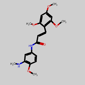 CNc1cc(NC(=O)/C=C/c2c(OC)cc(OC)cc2OC)ccc1OC